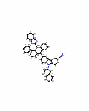 N#Cc1ccc2c(c1)c1cc(-c3c4ccccc4c(-c4nc5ccccc5n4-c4ccccc4)c4ccccc34)ccc1n2-c1ccc2ccccc2c1